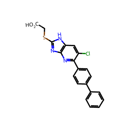 O=C(O)CSc1nc2nc(-c3ccc(-c4ccccc4)cc3)c(Cl)cc2[nH]1